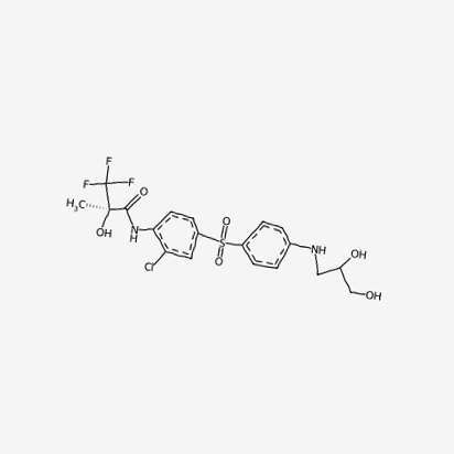 C[C@@](O)(C(=O)Nc1ccc(S(=O)(=O)c2ccc(NCC(O)CO)cc2)cc1Cl)C(F)(F)F